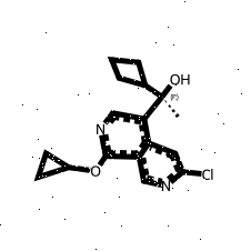 C[C@](O)(c1cnc(OC2CC2)c2cnc(Cl)cc12)C1CCC1